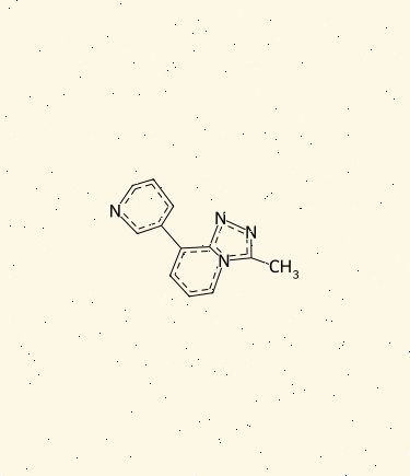 Cc1nnc2c(-c3cccnc3)cccn12